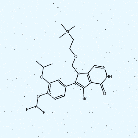 CC(C)Oc1cc(-c2c(Br)c3c(=O)[nH]ncc3n2COCC[Si](C)(C)C)ccc1OC(F)F